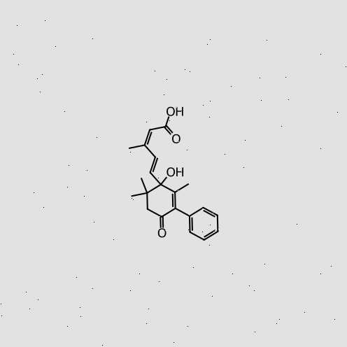 CC1=C(c2ccccc2)C(=O)CC(C)(C)C1(O)/C=C/C(C)=C\C(=O)O